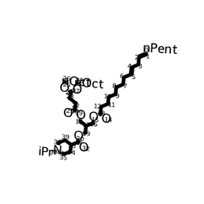 CCCCCC=CCC=CCCCCCCCC(=O)OCC(COC(=O)CCC(OCCCCCCCC)OCCCCCCCC)COC(=O)C1CCN(C(C)C)CC1